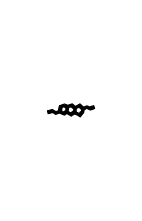 C=CCc1ccc2cc3cc(CC=C)ccc3cc2c1